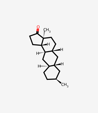 C[C@H]1CC[C@H]2C[C@@H]3[C@H](CC[C@]4(C)C(=O)CC[C@@H]34)C[C@@H]2C1